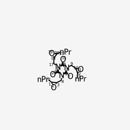 CCCC1OC1Cn1c(=O)n(CC2OC2CCC)c(=O)n(CC2OC2CCC)c1=O